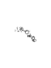 FC(F)(F)c1nc(-c2ccc(CNc3ccc4nccn4c3)nc2)no1